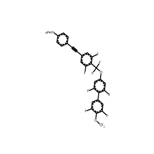 CCCCCc1ccc(C#Cc2cc(F)c(C(F)(F)Oc3cc(F)c(-c4cc(F)c(OC(F)(F)F)c(F)c4)c(F)c3)c(F)c2)cc1